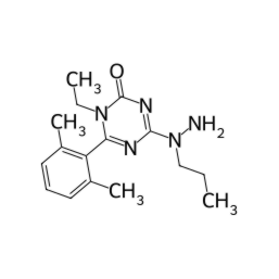 CCCN(N)c1nc(-c2c(C)cccc2C)n(CC)c(=O)n1